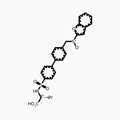 CC(C)[C@@H](NS(=O)(=O)c1ccc(-c2ccc(C[S+]([O-])c3cc4ccccc4o3)cc2)cc1)C(=O)O